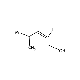 CC(C)C(C)/C=C(/F)CO